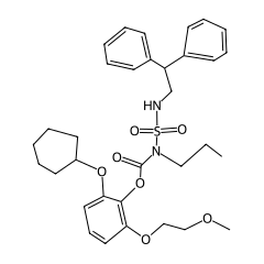 CCCN(C(=O)Oc1c(OCCOC)cccc1OC1CCCCC1)S(=O)(=O)NCC(c1ccccc1)c1ccccc1